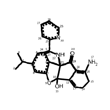 CC(C)c1ccc2c(c1)OC1(O)C3=CCCC(N)=C3C(=O)C21NC(=O)c1ccccn1